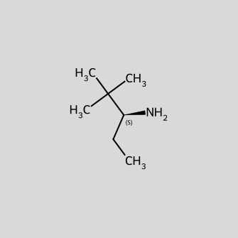 CC[C@H](N)C(C)(C)C